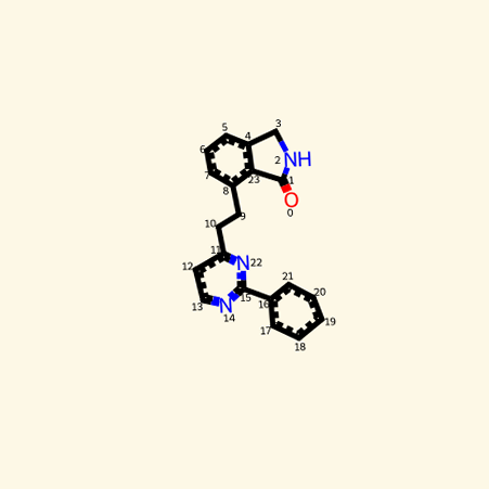 O=C1NCc2cccc(CCc3ccnc(-c4ccccc4)n3)c21